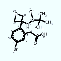 CC(C)(C)[S+]([O-])NC1(c2ccc(Br)cc2CC(=O)O)COC1